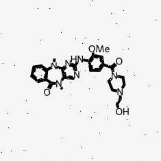 COc1cc(C(=O)N2CCN(CCO)CC2)ccc1Nc1ncc2c(n1)N(C)c1ccccc1C(=O)N2C